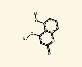 CCOc1cccc2oc(=O)cc(OCC)c12